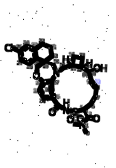 CN(C)C(=O)[C@@H]1CC/C=C/[C@H](O)[C@@H]2CC[C@H]2CN2C[C@@]3(CCCc4cc(Cl)ccc43)COc3ccc(cc32)C(=O)NS1(=O)=O